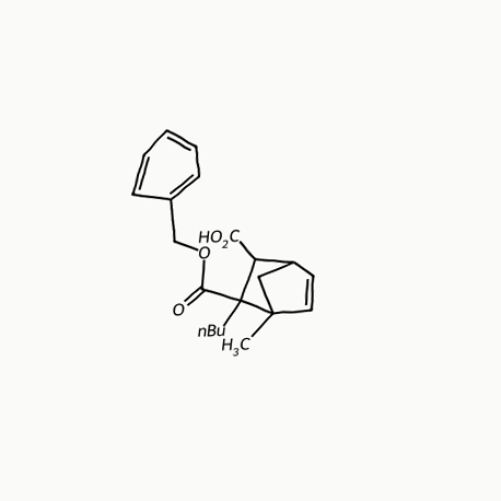 CCCCC1(C(=O)OCc2ccccc2)C(C(=O)O)C2C=CC1(C)C2